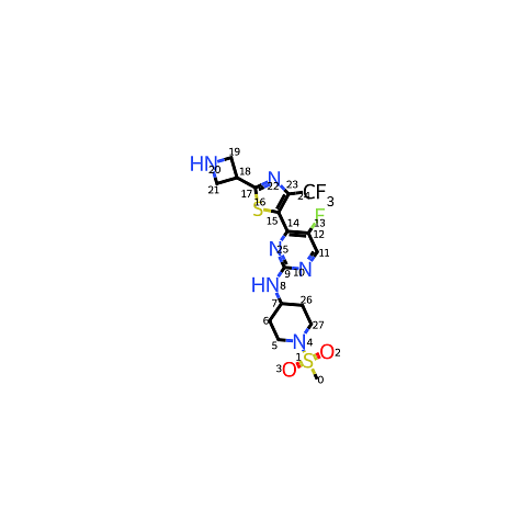 CS(=O)(=O)N1CCC(Nc2ncc(F)c(-c3sc(C4CNC4)nc3C(F)(F)F)n2)CC1